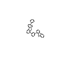 c1ccc(-c2ccc3c(n2)Cc2c(-c4cccc(-c5cccc6c5sc5ccccc56)c4)cccc2-3)cc1